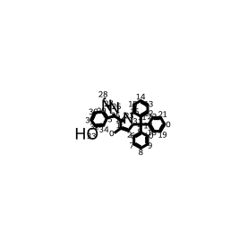 CC1=CC(C(c2ccccc2)(c2ccccc2)c2ccccc2)N=C1c1nn(C)c2ccc(O)cc12